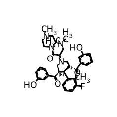 Cc1c(F)cccc1C1[C@@H](C(=O)c2cccc(O)c2)CN(C(CN(C)C)C(=O)N2CCN(C)CC2)C[C@@H]1C(=O)c1cccc(O)c1